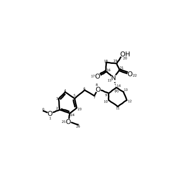 COc1ccc(CCOC2CCCC[C@H]2N2C(=O)CC(O)C2=O)cc1OC